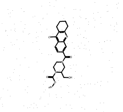 CCCOC(=O)N1CCN(C(=O)c2ccc3c(Cl)c4c(nc3c2)CCCC4)CC1CO